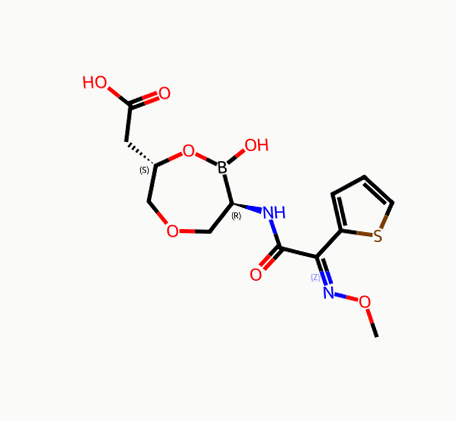 CO/N=C(/C(=O)N[C@H]1COC[C@H](CC(=O)O)OB1O)c1cccs1